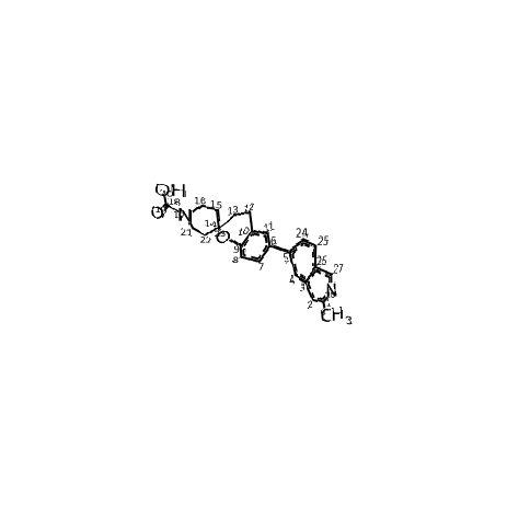 Cc1cc2cc(-c3ccc4c(c3)CCC3(CCN(C(=O)O)CC3)O4)ccc2cn1